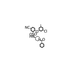 Cc1cc(Cl)cc(Oc2ccc(C#N)cc2S(=O)(=O)NC2CCN(C(=O)c3ccccc3)CC2)c1